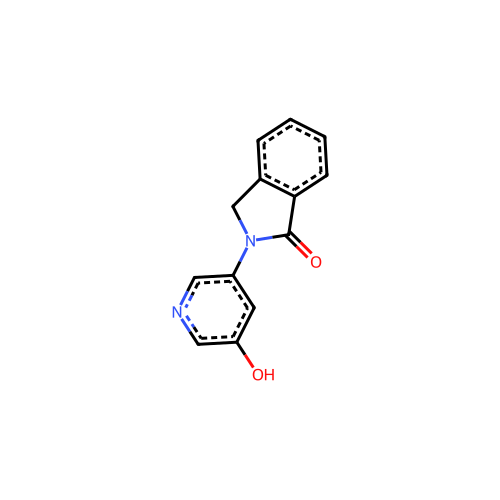 O=C1c2ccccc2CN1c1cncc(O)c1